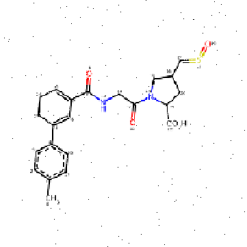 Cc1ccc(C2=CC(C(=O)NCC(=O)N3CC(C=S=O)CC3C(=O)O)=CCC2)cc1